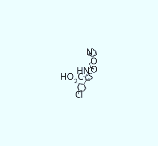 O=C(COc1cccnc1)Nc1scc(-c2ccc(Cl)cc2)c1C(=O)O